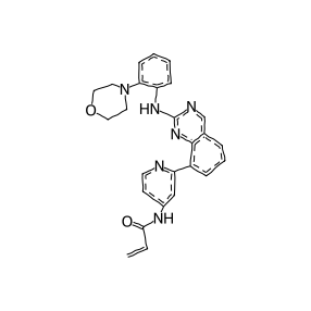 C=CC(=O)Nc1ccnc(-c2cccc3cnc(Nc4ccccc4N4CCOCC4)nc23)c1